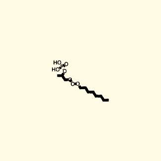 CCCCCCCCOOOCC(C)OP(=O)(O)O